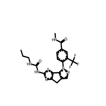 CCCNC(=O)Nc1nc2c(s1)-c1c(cnn1-c1ccc(C(=O)NC)cc1C(F)(F)F)C2